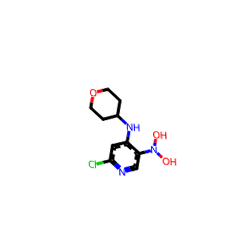 ON(O)c1cnc(Cl)cc1NC1CCOCC1